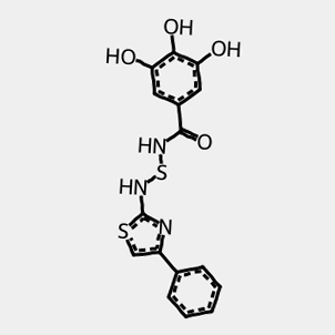 O=C(NSNc1nc(-c2ccccc2)cs1)c1cc(O)c(O)c(O)c1